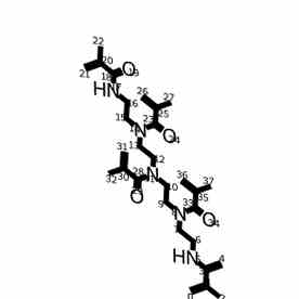 C=C(C)C(=C)NCCN(CCN(CCN(CCNC(=O)C(=C)C)C(=O)C(=C)C)C(=O)C(=C)C)C(=O)C(=C)C